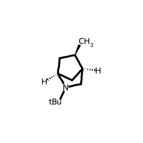 C[C@@H]1C[C@H]2C[C@@H]1CN2C(C)(C)C